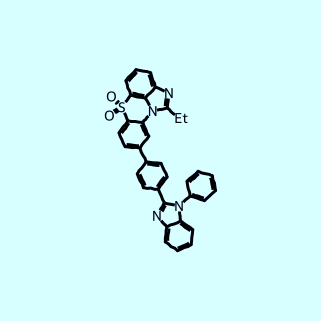 CCc1nc2cccc3c2n1-c1cc(-c2ccc(-c4nc5ccccc5n4-c4ccccc4)cc2)ccc1S3(=O)=O